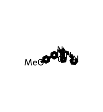 COc1ccc(-c2ccc(-n3ncc(CNCc4ccccn4)c3-c3ccco3)cc2)cc1